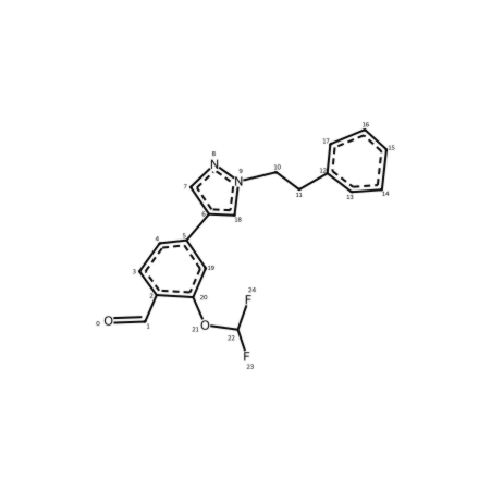 O=Cc1ccc(-c2cnn(CCc3ccccc3)c2)cc1OC(F)F